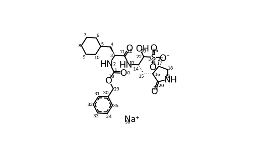 O=C(N[C@@H](CC1CCCCC1)C(=O)N[C@@H](C[C@@H]1CCNC1=O)C(O)S(=O)(=O)[O-])OCc1ccccc1.[Na+]